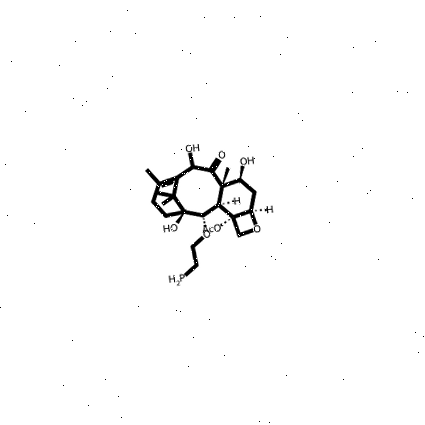 CC(=O)O[C@@]12CO[C@@H]1C[C@H](O)[C@@]1(C)C(=O)C(O)C3=C(C)CC[C@@](O)([C@@H](OCCP)[C@H]21)C3(C)C